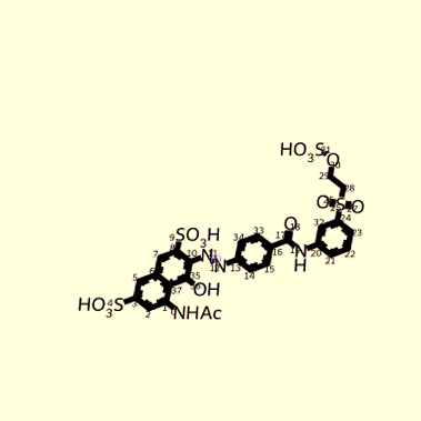 CC(=O)Nc1cc(S(=O)(=O)O)cc2cc(S(=O)(=O)O)c(/N=N/c3ccc(C(=O)Nc4cccc(S(=O)(=O)CCOS(=O)(=O)O)c4)cc3)c(O)c12